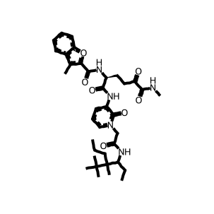 CCCC(C)(C(CC)NC(=O)Cn1cccc(NC(=O)[C@H](CCC(=O)C(=O)NC)NC(=O)c2oc3ccccc3c2C)c1=O)C(C)(C)C